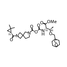 COC(=O)[C@@H](NC(=O)OC(=O)N1CCC2(C1)CN(C(=O)[C@H]1CC1(C)C)C2)[C@@H](C)OCC12CCC(CC1)OC2